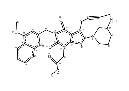 CC#CCn1c(N2CCCC(N)C2)nc2c1c(=O)n(Cc1cc(OC)c3ccccc3n1)c(=O)n2CC(=O)OC